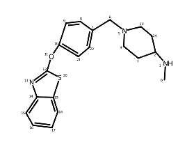 CNC1CCN(Cc2ccc(Oc3nc4ccccc4s3)cc2)CC1